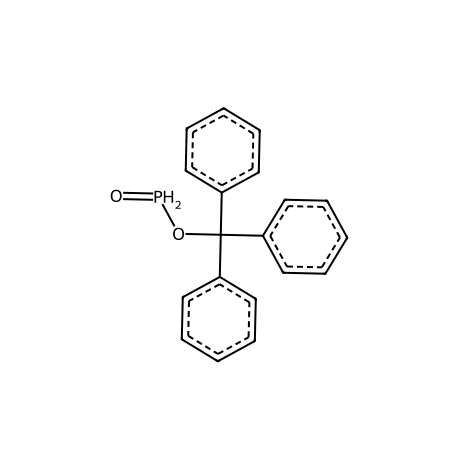 O=[PH2]OC(c1ccccc1)(c1ccccc1)c1ccccc1